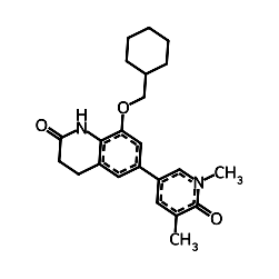 Cc1cc(-c2cc3c(c(OCC4CCCCC4)c2)NC(=O)CC3)cn(C)c1=O